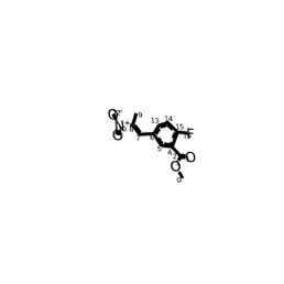 COC(=O)c1cc(/C=C(\C)[N+](=O)[O-])ccc1F